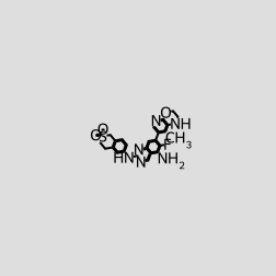 Cc1c(-c2cc3nc(Nc4ccc5c(c4)CCS(=O)(=O)C5)ncc3c(N)c2F)cnc2c1NCCO2